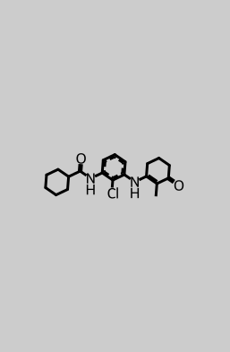 CC1=C(Nc2cccc(NC(=O)C3CCCCC3)c2Cl)CCCC1=O